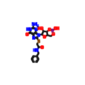 Nc1nc2c(nc(SCC(=O)NCc3ccccc3)n2C2OC3COP(O)OC3C2O)c(=O)[nH]1